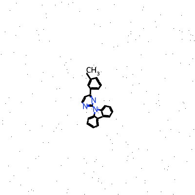 CCc1cccc(-c2ccnc(-n3c4ccccc4c4ccccc43)n2)c1